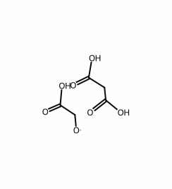 O=C(O)CC(=O)O.[O]CC(=O)O